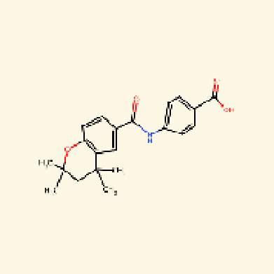 CC1(C)CC(C)(C)c2cc(C(=O)Nc3ccc(C(=O)O)cc3)ccc2O1